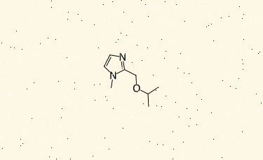 CC(C)OCc1nccn1C